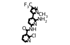 Cn1nc(C(F)(F)F)cc1-c1ccc(NC(=O)c2cccnc2Cl)nc1N